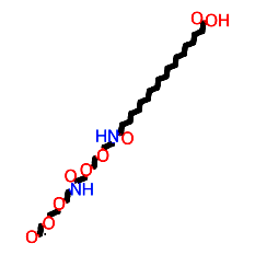 O=[C]COCCOCCNC(=O)COCCOCCNC(=O)CCCCCCCCCCCCCCCCCCC(=O)O